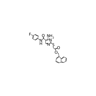 Nc1nc(SCC(=O)OCc2cccc3ccccc23)ncc1C(=O)Nc1ccc(F)cc1